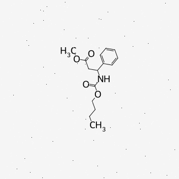 CCCCOC(=O)NC(CC(=O)OC)c1ccccc1